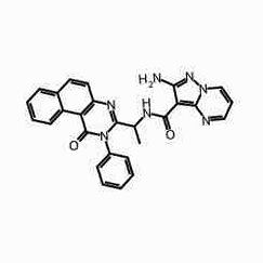 CC(NC(=O)c1c(N)nn2cccnc12)c1nc2ccc3ccccc3c2c(=O)n1-c1ccccc1